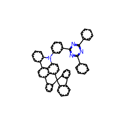 c1ccc(-c2nc(-c3ccccc3)nc(-c3cccc(N4c5ccccc5-c5ccc6c7c(ccc4c57)C4(c5ccccc5-c5ccccc54)c4ccccc4-6)c3)n2)cc1